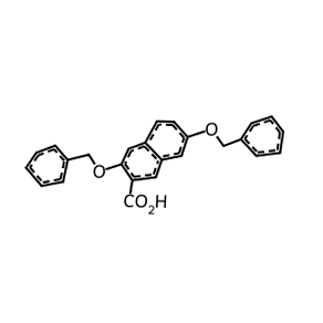 O=C(O)c1cc2cc(OCc3ccccc3)ccc2cc1OCc1ccccc1